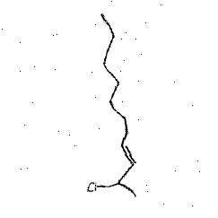 CCCCCCC=CC(C)Cl